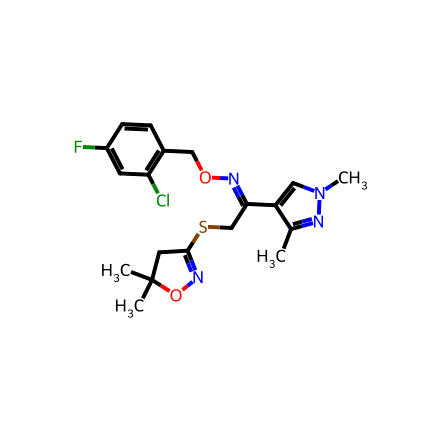 Cc1nn(C)cc1C(CSC1=NOC(C)(C)C1)=NOCc1ccc(F)cc1Cl